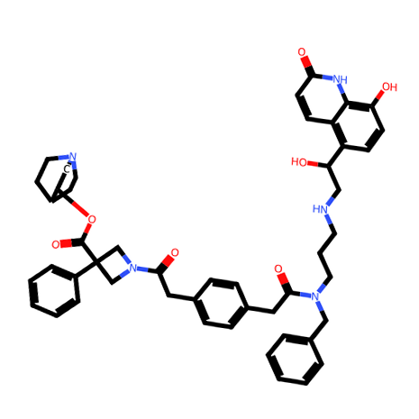 O=C(Cc1ccc(CC(=O)N2CC(C(=O)OC3CN4CCC3CC4)(c3ccccc3)C2)cc1)N(CCCNCC(O)c1ccc(O)c2[nH]c(=O)ccc12)Cc1ccccc1